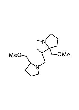 COCC1CCCN1CC1CCN2CCCC12COC